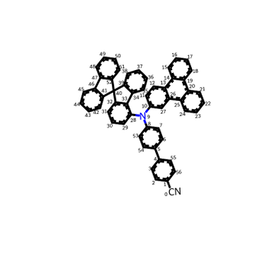 N#Cc1ccc(-c2ccc(N(c3ccc4c5ccccc5c5ccccc5c4c3)c3cccc4c3-c3ccccc3C43c4ccccc4-c4ccccc43)cc2)cc1